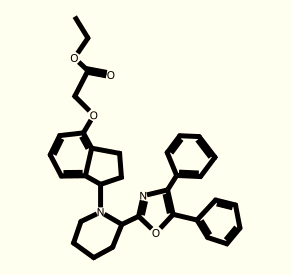 CCOC(=O)COc1cccc2c1CCC2N1CCCCC1c1nc(-c2ccccc2)c(-c2ccccc2)o1